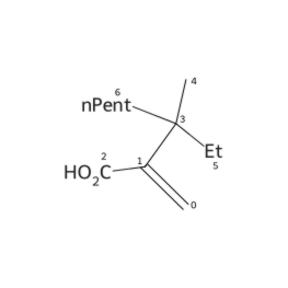 C=C(C(=O)O)C(C)(CC)CCCCC